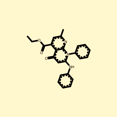 CCOC(=O)c1cc(C)nc2c1c(=O)cc(Nc1ccccc1)n2-c1ccccc1